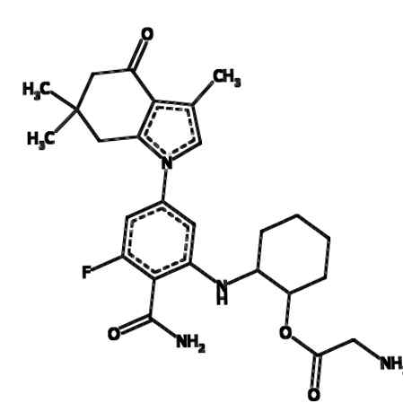 Cc1cn(-c2cc(F)c(C(N)=O)c(NC3CCCCC3OC(=O)CN)c2)c2c1C(=O)CC(C)(C)C2